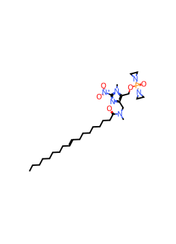 CCCCCCCC/C=C/CCCCCCCC(=O)N(C)Cc1nc([N+](=O)[O-])n(C)c1COP(=O)(N1CC1)N1CC1